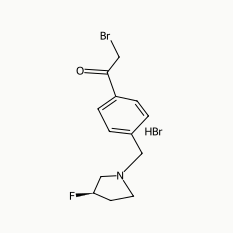 Br.O=C(CBr)c1ccc(CN2CC[C@@H](F)C2)cc1